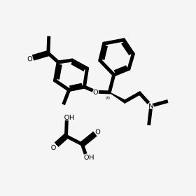 CC(=O)c1ccc(O[C@H](CCN(C)C)c2ccccc2)c(C)c1.O=C(O)C(=O)O